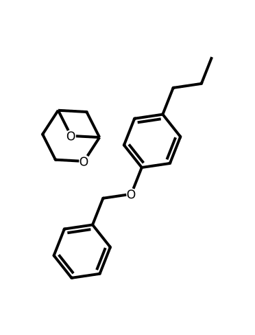 C1CC2CC(O1)O2.CCCc1ccc(OCc2ccccc2)cc1